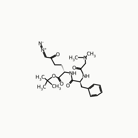 CN(C)CC(=O)N[C@@H](Cc1ccccc1)C(=O)N[C@@H](CCC(=O)C=[N+]=[N-])C(=O)OC(C)(C)C